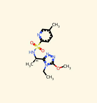 CCn1c(OC)nnc1[C@@H](C)NS(=O)(=O)c1ccc(C)cn1